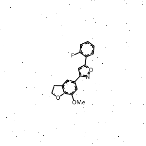 COc1cc(-c2cc(-c3ccccc3F)on2)cc2c1OCC2